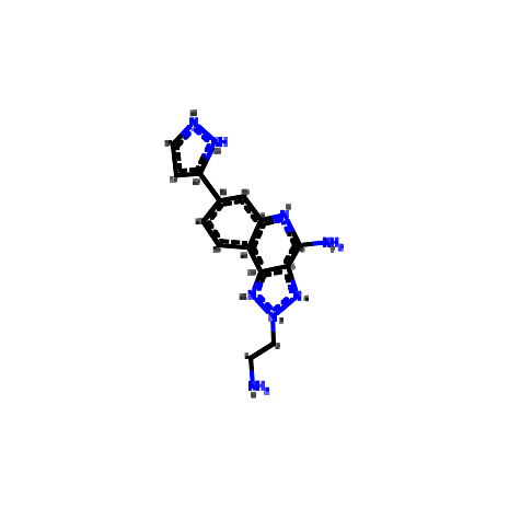 NCCn1nc2c(N)nc3cc(-c4ccn[nH]4)ccc3c2n1